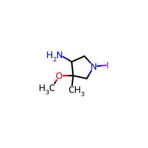 COC1(C)CN(I)CC1N